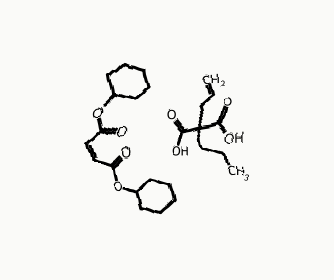 C=CCC(CCC)(C(=O)O)C(=O)O.O=C(/C=C\C(=O)OC1CCCCC1)OC1CCCCC1